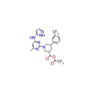 Cc1cc(Nc2ccn[nH]2)nc(N2CC(C(=O)OC(=O)C(F)(F)F)CC(c3cccc(C(F)(F)F)c3)C2)n1